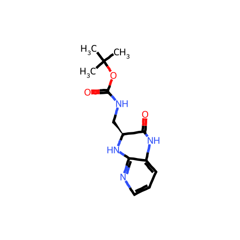 CC(C)(C)OC(=O)NC[C@@H]1Nc2ncccc2NC1=O